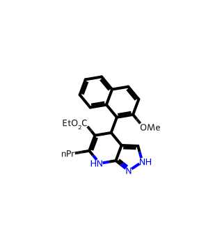 CCCC1=C(C(=O)OCC)C(c2c(OC)ccc3ccccc23)c2c[nH]nc2N1